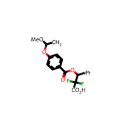 COC(C)Oc1ccc(C(=O)OC(C(C)C)C(F)(F)C(=O)O)cc1